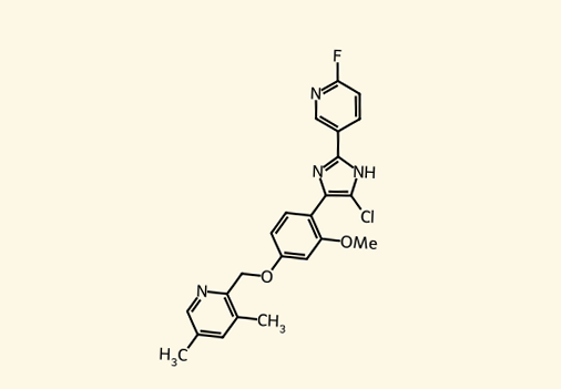 COc1cc(OCc2ncc(C)cc2C)ccc1-c1nc(-c2ccc(F)nc2)[nH]c1Cl